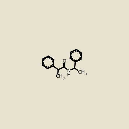 CC(NC(=O)C(C)c1ccccc1)c1ccccc1